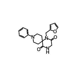 O=C1CNC(=O)C2(CCN(c3ccccc3)CC2)N1Cc1ccco1